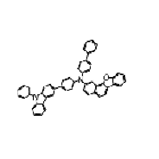 c1ccc(-c2ccc(N(c3ccc(-c4ccc5c(c4)c4ccccc4n5-c4ccccc4)cc3)c3ccc4ccc5c6ccccc6oc5c4c3)cc2)cc1